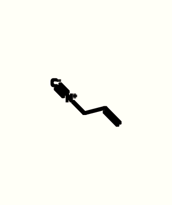 [C-]#[N+]CC=C